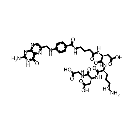 NNCCC[C@H](NC(=O)[C@H](CC(=O)O)NC(=O)CCCNC(=O)c1ccc(NCc2cnc3nc(N)[nH]c(=O)c3n2)cc1)C(=O)N[C@@H](CC(=O)O)C(=O)NCC(=O)O